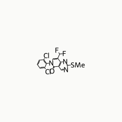 CSc1ncc2c(=O)n(-c3c(Cl)cccc3Cl)cc(C(F)F)c2n1